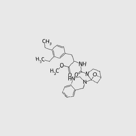 CCc1ccc(CC(NC(=O)N2CCC3CC2(N2CNc4ccccc4C2)O3)C(=O)OC)cc1CC